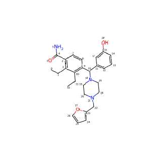 CCc1c(C(N)=O)ccc(C(c2cccc(O)c2)N2CCN(Cc3ccco3)CC2)c1CC